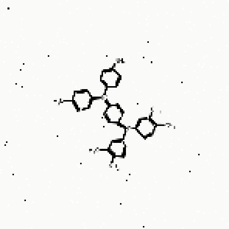 Cc1cc([N+](=C2C=CC(=[N+](c3ccc(N)cc3)c3ccc(N)cc3)C=C2)c2ccc(N)c(C)c2)ccc1N